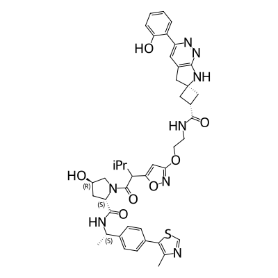 Cc1ncsc1-c1ccc([C@H](C)NC(=O)[C@@H]2C[C@@H](O)CN2C(=O)C(c2cc(OCCNC(=O)[C@H]3C[C@@]4(Cc5cc(-c6ccccc6O)nnc5N4)C3)no2)C(C)C)cc1